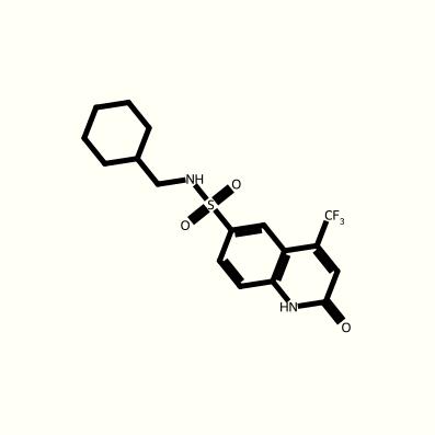 O=c1cc(C(F)(F)F)c2cc(S(=O)(=O)NCC3CCCCC3)ccc2[nH]1